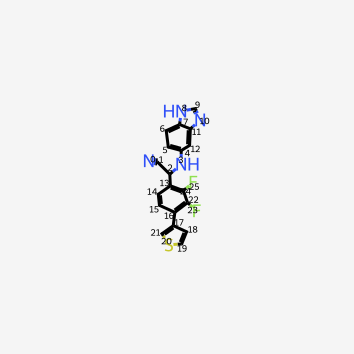 N#CC(Nc1ccc2[nH]cnc2c1)c1ccc(-c2ccsc2)c(F)c1F